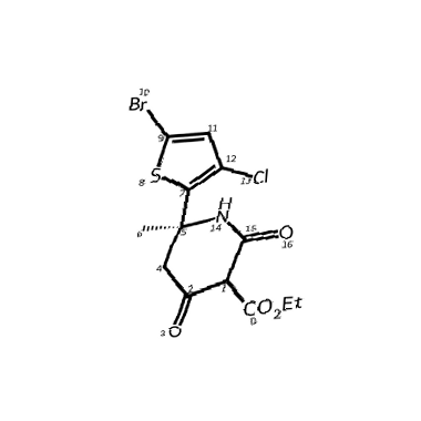 CCOC(=O)C1C(=O)C[C@@](C)(c2sc(Br)cc2Cl)NC1=O